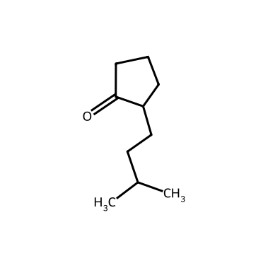 CC(C)CCC1CCCC1=O